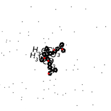 Cc1cccc(C)c1N1c2cc3c(cc2B2c4cc5oc6cc7cc(N(c8ccccc8)c8ccccc8)ccc7cc6c5cc4N(c4c(C)cccc4C)c4cccc1c42)oc1cc2cc(N(c4ccccc4)c4ccccc4)ccc2cc13